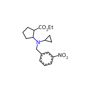 CCOC(=O)C1CCCC1N(Cc1cccc([N+](=O)[O-])c1)C1CC1